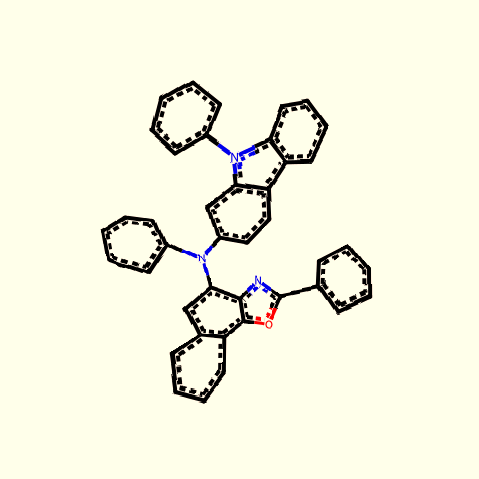 c1ccc(-c2nc3c(N(c4ccccc4)c4ccc5c6ccccc6n(-c6ccccc6)c5c4)cc4ccccc4c3o2)cc1